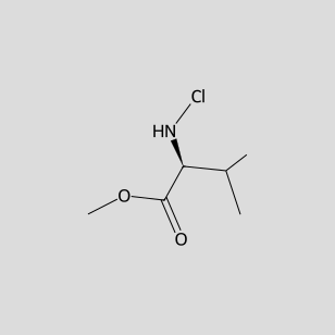 COC(=O)[C@@H](NCl)C(C)C